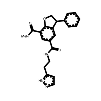 CNC(=O)c1cc(C(=O)NCCc2ccn[nH]2)cc2c1OCC2c1ccccc1